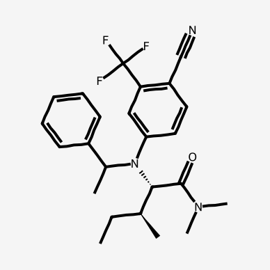 CC[C@H](C)[C@@H](C(=O)N(C)C)N(c1ccc(C#N)c(C(F)(F)F)c1)C(C)c1ccccc1